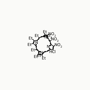 CCC1=C(CC)c2nc1c(CC)c1c(CC)c(CC)c(cc3nc(c([N+](=O)[O-])c4c([N+](=O)[O-])c(CC)c(c2CC)n4[N+](=O)[O-])C([N+](=O)[O-])=C3)n1CC.Cl